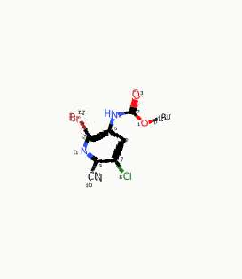 CC(C)(C)OC(=O)Nc1cc(Cl)c(C#N)nc1Br